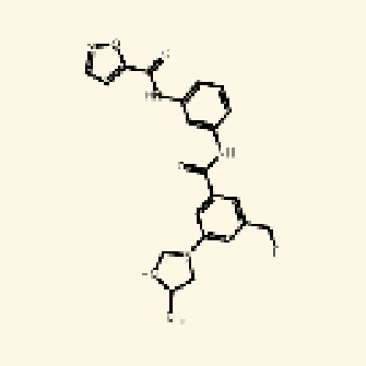 CC1CN(c2cc(CF)cc(C(=O)Nc3cccc(NC(=O)c4ccno4)c3)c2)CN1